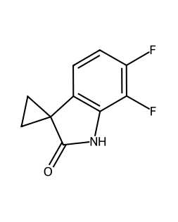 O=C1Nc2c(ccc(F)c2F)C12CC2